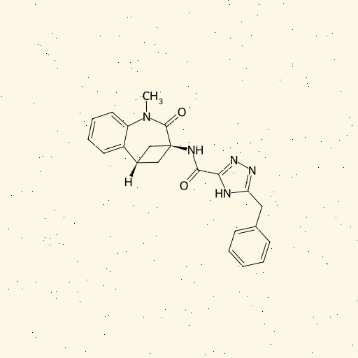 CN1c2ccccc2[C@H]2C[C@](NC(=O)c3nnc(Cc4ccccc4)[nH]3)(C2)C1=O